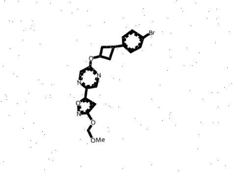 COCOc1cc(-c2cnc(OC3CC(c4ccc(Br)cc4)C3)cn2)on1